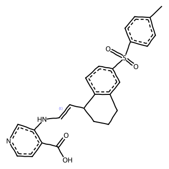 Cc1ccc(S(=O)(=O)c2ccc3c(c2)CCCC3/C=C/Nc2cnccc2C(=O)O)cc1